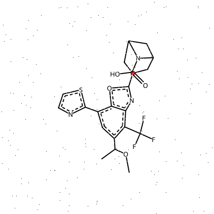 COC(C)c1cc(-c2nccs2)c2oc(N3CC4CC(C3)N4C(=O)O)nc2c1C(F)(F)F